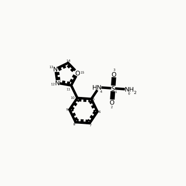 NS(=O)(=O)Nc1ccccc1-c1nnco1